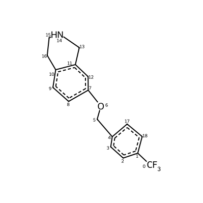 FC(F)(F)c1ccc(COc2ccc3c(c2)CNCC3)cc1